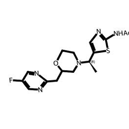 CC(=O)Nc1ncc([C@@H](C)N2CCOC(Cc3ncc(F)cn3)C2)s1